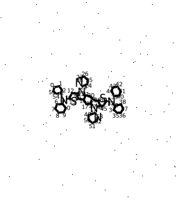 c1ccc(N(c2ccccc2)c2cc3c(s2)c2cc4c(cc2n3-c2ccccn2)c2sc(N(c3ccccc3)c3ccccc3)cc2n4-c2ccccn2)cc1